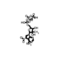 CC1(O)C(O)C(COP(=O)(O)OP(=O)(O)OP(=O)(O)O)OC1n1cc([N+](=O)[O-])c2c(N)ncnc21